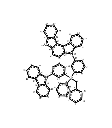 c1ccc(C[Si](c2cccc(-n3c4ccccc4c4ccccc43)c2)(c2cccc(-n3c4ccccc4c4c5c(ccc43)oc3ccccc35)c2)c2ccccn2)nc1